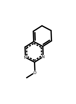 COc1ncc2c(n1)=CCCC=2